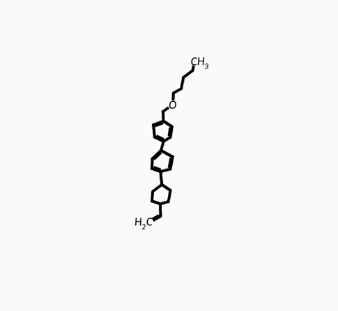 C=CC1CCC(c2ccc(-c3ccc(COCCCCC)cc3)cc2)CC1